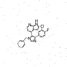 Fc1ccc(-c2ncn(CC3=CCCC=C3)c2-c2ccnc3[nH]ccc23)cc1Cl